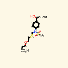 CCCCCC(O)c1ccc(N(CSCCOCCC(=O)O)S(=O)(=O)CCC)cc1